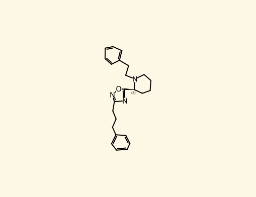 c1ccc(CCCc2noc([C@@H]3CCCCN3CCc3ccccc3)n2)cc1